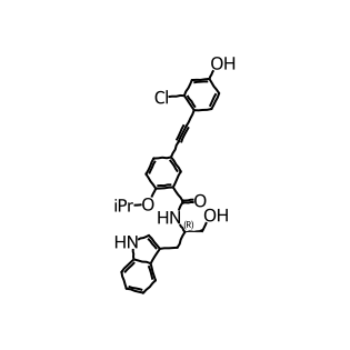 CC(C)Oc1ccc(C#Cc2ccc(O)cc2Cl)cc1C(=O)N[C@@H](CO)Cc1c[nH]c2ccccc12